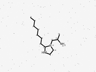 CCCCCCCC1NCCN1CC(C)N